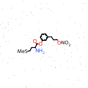 CSCCC(N)C(=O)Oc1cccc(CCCO[N+](=O)[O-])c1